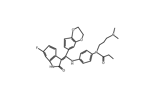 CCC(=O)N(CCCN(C)C)c1ccc(N/C(=C2\C(=O)Nc3cc(F)ccc32)c2ccc3c(c2)OCCO3)cc1